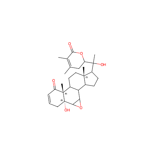 CC1=C(C)C(=O)OC(C(C)(O)C2CCC3C4C5OC5[C@@]5(O)CC=CC(=O)[C@]5(C)C4CC[C@@]32C)C1